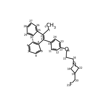 CC/C(=C(/c1ccccc1)c1ccc(OCCN2CC(CF)C2)cc1)c1ccccc1